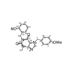 COc1ccc(Cn2cnc3c2c(=O)n(Cc2ccccc2C#N)c(=O)n3C)cc1